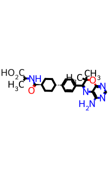 CC(NC(=O)[C@H]1CC[C@H](c2ccc(C3=Nc4c(N)ncnc4OC3(C)C)cc2)CC1)C(=O)O